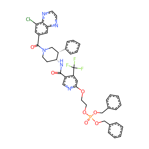 O=C(N[C@@H]1CCN(C(=O)c2cc(Cl)c3nccnc3c2)C[C@@H]1c1ccccc1)c1cnc(OCCOP(=O)(OCc2ccccc2)OCc2ccccc2)cc1C(F)(F)F